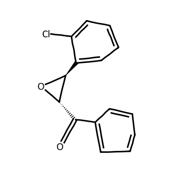 O=C(c1ccccc1)[C@@H]1O[C@H]1c1ccccc1Cl